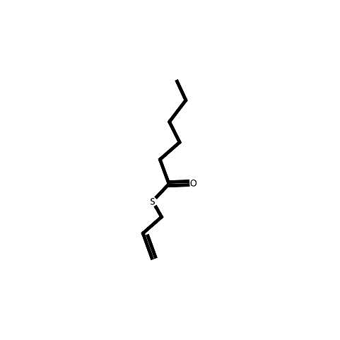 C=CCSC(=O)CCCCC